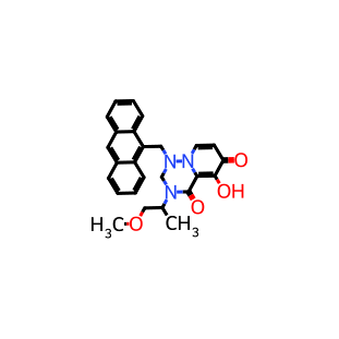 COCC(C)N1CN(Cc2c3ccccc3cc3ccccc23)n2ccc(=O)c(O)c2C1=O